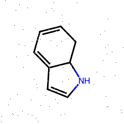 C1=CCC2NC=CC2=C1